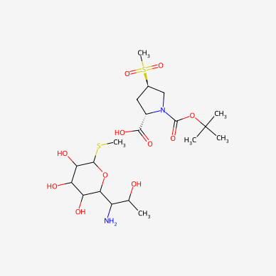 CC(C)(C)OC(=O)N1C[C@H](S(C)(=O)=O)C[C@H]1C(=O)O.CSC1OC(C(N)C(C)O)C(O)C(O)C1O